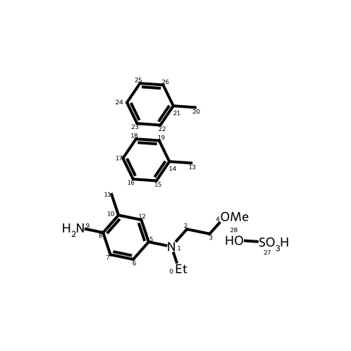 CCN(CCOC)c1ccc(N)c(C)c1.Cc1ccccc1.Cc1ccccc1.O=S(=O)(O)O